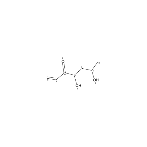 [CH2]C(O)CC(O)C(=O)C=C